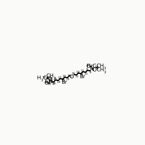 CC(C)(C)ON(C=O)CCCCC(Br)CCCOCCCC(Br)CCCCN(C=O)OC(C)(C)C